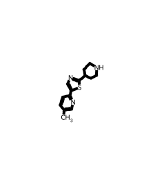 Cc1ccc(-c2cnc(C3CCNCC3)s2)nc1